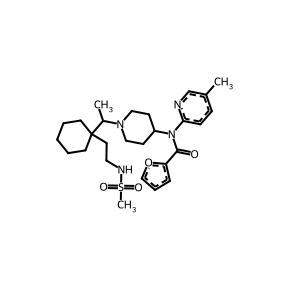 Cc1ccc(N(C(=O)c2ccco2)C2CCN(C(C)C3(CCNS(C)(=O)=O)CCCCC3)CC2)nc1